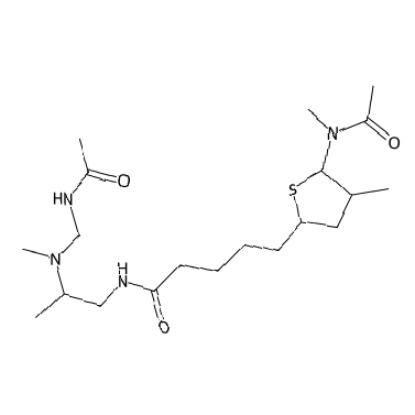 CC(=O)NCN(C)C(C)CNC(=O)CCCCC1CC(C)C(N(C)C(C)=O)S1